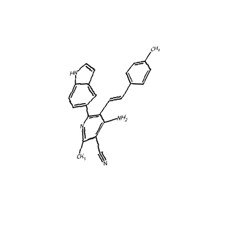 Cc1ccc(/C=C/c2c(-c3ccc4[nH]ccc4c3)nc(C)c(C#N)c2N)cc1